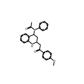 COc1ccc(C(=O)CC2CC(N(C(C)=O)c3ccccc3)c3ccccc3N2)cc1